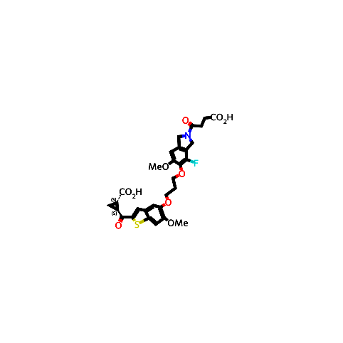 COc1cc2sc(C(=O)[C@H]3C[C@@H]3C(=O)O)cc2cc1OCCCOc1c(OC)cc2c(c1F)CN(C(=O)CCC(=O)O)C2